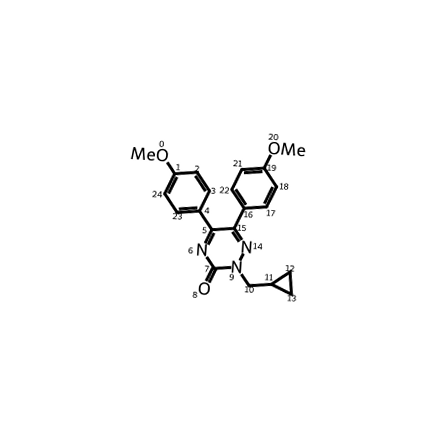 COc1ccc(-c2nc(=O)n(CC3CC3)nc2-c2ccc(OC)cc2)cc1